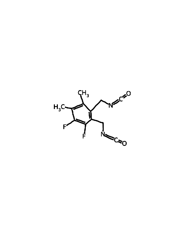 Cc1c(C)c(CN=C=O)c(CN=C=O)c(F)c1F